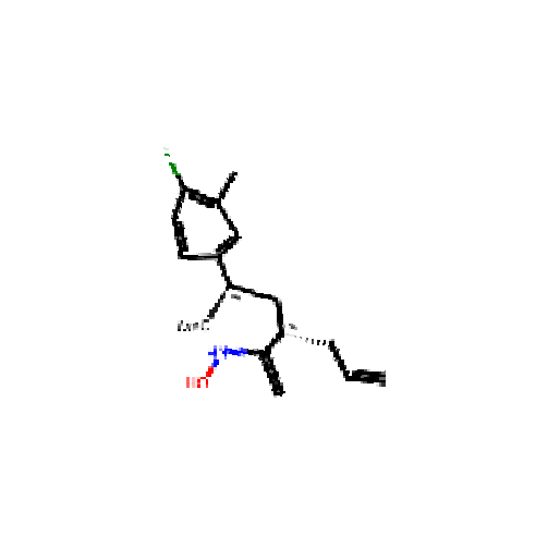 C=CC[C@@H](C[C@@H](OC)c1ccc(F)c(C)c1)C(=C)NO